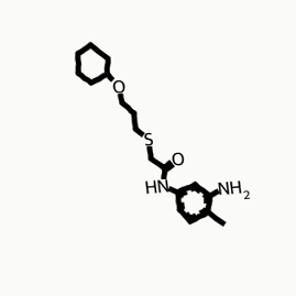 Cc1ccc(NC(=O)CSCCCOC2CCCCC2)cc1N